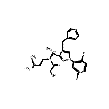 CC(C)(C)[C@H](c1nn(-c2cc(F)ccc2F)cc1Cc1ccccc1)N(CC[C@H](N)C(=O)O)C(=O)CO